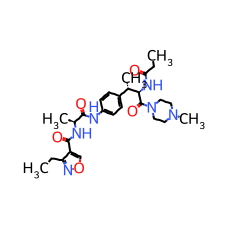 CCC(=O)N[C@@H](C(=O)N1CCN(C)CC1)[C@@H](C)c1ccc(NC(=O)[C@H](C)NC(=O)c2conc2CC)cc1